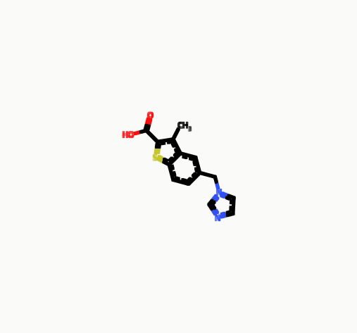 Cc1c(C(=O)O)sc2ccc(Cn3ccnc3)cc12